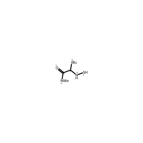 CNC(=O)C(NS)C(C)(C)C